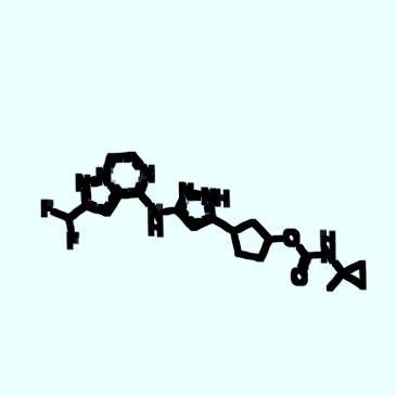 CC1(NC(=O)OC2CCC(c3cc(Nc4nccn5nc(C(F)F)cc45)n[nH]3)C2)CC1